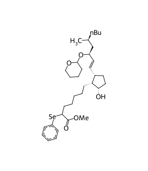 CCCC[C@H](C)C[C@@H](/C=C/[C@@H]1CC[C@H](O)[C@@H]1CCCCCC([Se]c1ccccc1)C(=O)OC)OC1CCCCO1